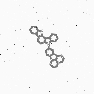 c1cc2c3c(cccc3c1)-c1cc(-n3c4ccccc4c4c5sc6ccccc6c5ccc43)ccc1-2